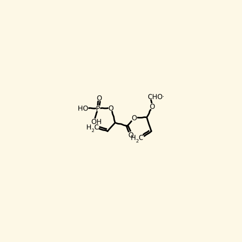 C=CC(O[C]=O)OC(=O)C(C=C)OP(=O)(O)O